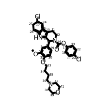 COc1cc(C2c3[nH]c4c(c3CCN2C(=O)Oc2ccc(Cl)cc2)=CC(Cl)CC=4)ccc1OCCCCN1CCOCC1